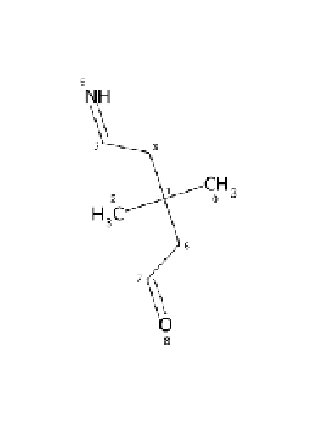 CC(C)(C[C]=N)C[C]=O